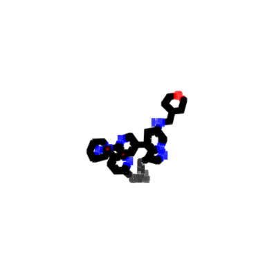 COc1ccc(CN2C3CC2CN(c2ccc(-c4cc(NCC5CCOCC5)cn5ncc(C)c45)cn2)C3)cn1